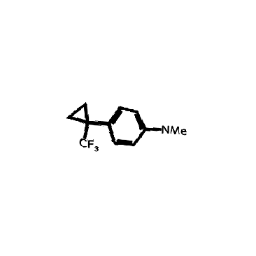 CNc1ccc(C2(C(F)(F)F)CC2)cc1